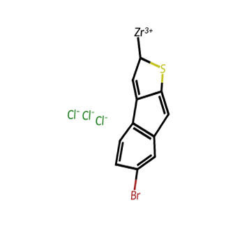 Brc1ccc2c(c1)C=C1S[CH]([Zr+3])C=C12.[Cl-].[Cl-].[Cl-]